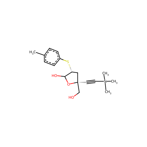 Cc1ccc(S[C@@H]2C[C@@](C#C[Si](C)(C)C)(CO)OC2O)cc1